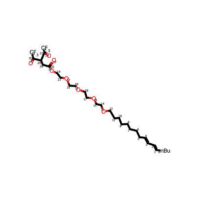 CCCCC=CC=CCCCCCCCCOCCOCCOCCOCCOC(=O)CC(C(=O)C(F)(F)F)C(=O)C(F)(F)F